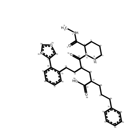 CNC(=O)C1CCCNN1C(=O)C(CCc1ccccc1-c1cocn1)CC(CCCc1ccccc1)C(=O)O